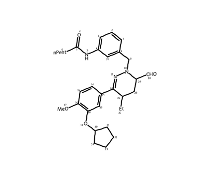 CCCCCC(=O)Nc1cccc(CN2N=C(c3ccc(OC)c(OC4CCCC4)c3)C(CC)CC2C=O)c1